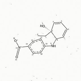 CC[C@@]1(O)C=CC=CC1Nc1ccc([N+](=O)[O-])cc1